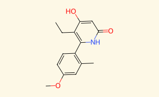 CCc1c(O)cc(=O)[nH]c1-c1ccc(OC)cc1C